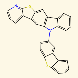 c1ccc2c(c1)sc1ccc(-n3c4ccccc4c4cc5sc6ncccc6c5cc43)cc12